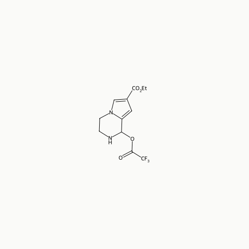 CCOC(=O)c1cc2n(c1)CCNC2OC(=O)C(F)(F)F